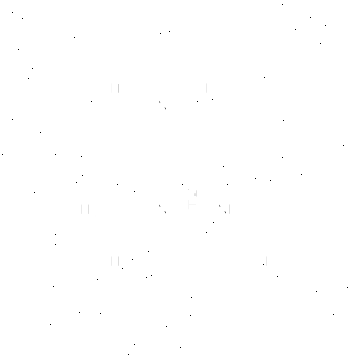 CCN[SiH](C=CN(C)C)N(CC)CC